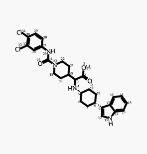 O=C(O)C(N[C@H]1CC[C@@H](c2c[nH]c3ccccc32)CC1)C1CCN(C(=O)Nc2ccc(Cl)c(Cl)c2)CC1